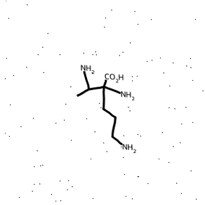 CC(N)C(N)(CCCN)C(=O)O